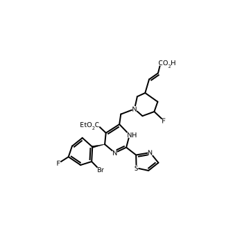 CCOC(=O)C1=C(CN2CC(F)CC(/C=C/C(=O)O)C2)NC(c2nccs2)=N[C@H]1c1ccc(F)cc1Br